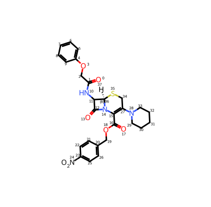 O=C(COc1ccccc1)NC1C(=O)N2C(C(=O)OCc3ccc([N+](=O)[O-])cc3)=C(N3CCCCC3)CS[C@H]12